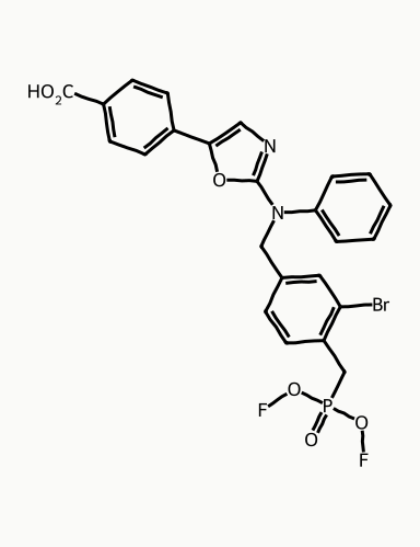 O=C(O)c1ccc(-c2cnc(N(Cc3ccc(CP(=O)(OF)OF)c(Br)c3)c3ccccc3)o2)cc1